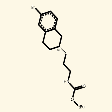 CC(C)(C)OC(=O)NCCC[C@@H]1CCc2cc(Br)ccc2C1